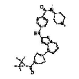 CN1CCC(N(C)C(=O)c2ccc(Nc3nc4c(C5=CCN(C(=O)C6C(C)(C)C6(C)C)CC5)cccn4n3)cc2)CC1